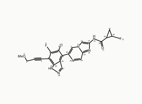 COCC#Cc1c(F)c(Cl)c(-c2cn3cc(NC(=O)C4CC4F)nc3cn2)c2cn[nH]c12